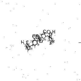 Cn1nccc1-c1ccc(S(=O)(=O)[C@H]2C[C@@H](C(=O)O)[C@H](C(=O)N3CC(F)(F)C3)C2)c(C(F)(F)F)c1